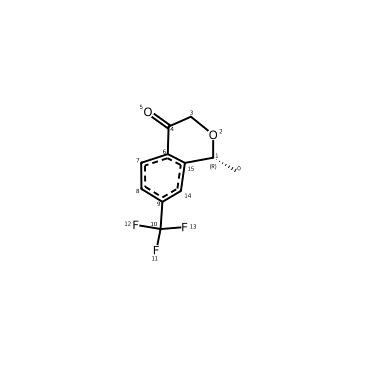 C[C@H]1OCC(=O)c2ccc(C(F)(F)F)cc21